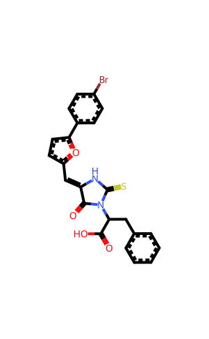 O=C(O)C(Cc1ccccc1)N1C(=O)C(=Cc2ccc(-c3ccc(Br)cc3)o2)NC1=S